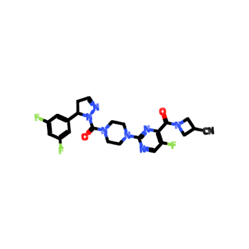 N#CC1CN(C(=O)c2nc(N3CCN(C(=O)N4N=CCC4c4cc(F)cc(F)c4)CC3)ncc2F)C1